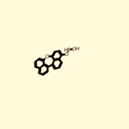 OBOc1ccc2oc3cccc4cccc(c5cccc1c25)c43